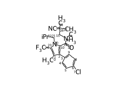 Cc1c(-c2ccc(Cl)cc2)c(C(=O)N(C)CC(C)(C)C#N)n(CC(C)C)c1C(F)(F)F